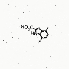 Cc1ccc(F)c2[nH]c(C(=O)O)cc12